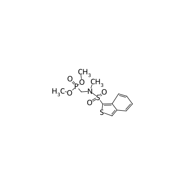 COP(=O)(CN(C)S(=O)(=O)c1scc2ccccc12)OC